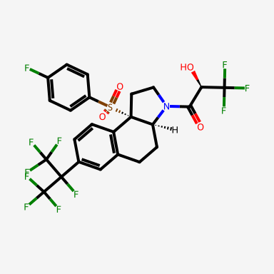 O=C([C@@H](O)C(F)(F)F)N1CC[C@]2(S(=O)(=O)c3ccc(F)cc3)c3ccc(C(F)(C(F)(F)F)C(F)(F)F)cc3CC[C@H]12